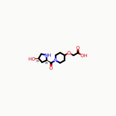 O=C(O)COC1CCN(C(=O)[C@H]2C[C@@H](O)CN2)CC1